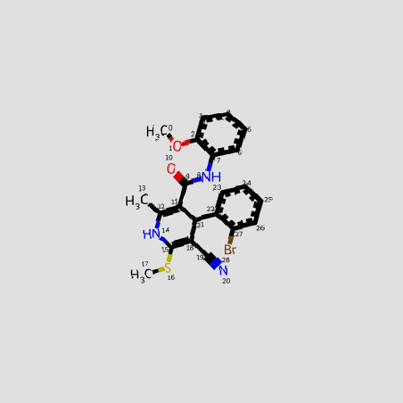 COc1ccccc1NC(=O)C1=C(C)NC(SC)=C(C#N)C1c1ccccc1Br